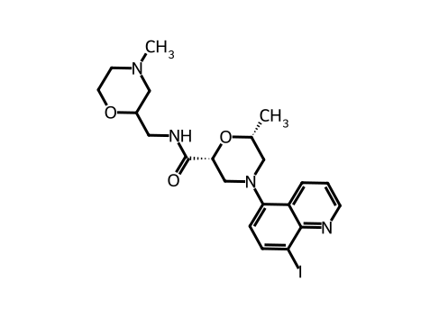 C[C@@H]1CN(c2ccc(I)c3ncccc23)C[C@H](C(=O)NCC2CN(C)CCO2)O1